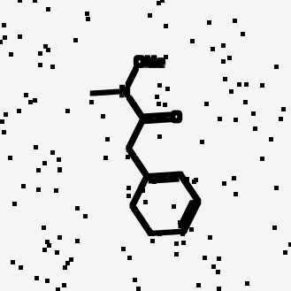 CON(C)C(=O)CC1=CC=CCC1